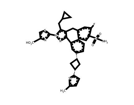 Cc1ccc([C@H]2C[C@@H](c3cccc(-c4nn(-c5nc(C(=O)O)cs5)c(CC5CC5)c4Cc4ccc(S(N)(=O)=O)c(F)c4)c3)C2)s1